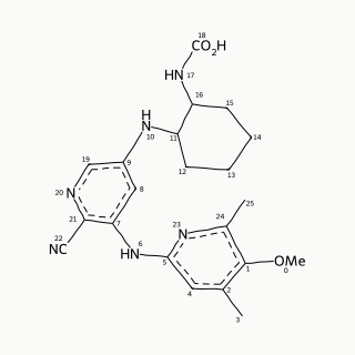 COc1c(C)cc(Nc2cc(NC3CCCCC3NC(=O)O)cnc2C#N)nc1C